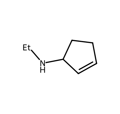 CCNC1C=CCC1